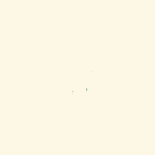 CSP(F)(F)(F)F